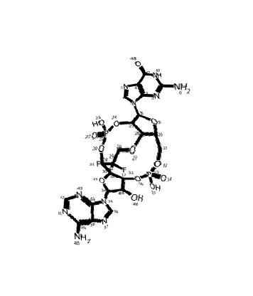 Nc1nc2c(ncn2C2OC3COP(=O)(O)OC4C(COP(=O)(O)OC2C3OCC(F)(F)F)OC(n2cnc3c(N)ncnc32)C4O)c(=O)[nH]1